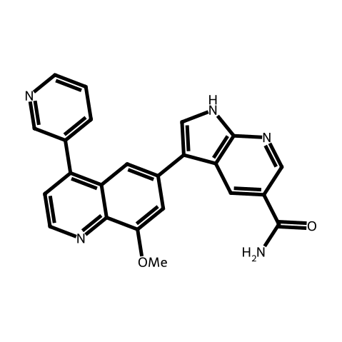 COc1cc(-c2c[nH]c3ncc(C(N)=O)cc23)cc2c(-c3cccnc3)ccnc12